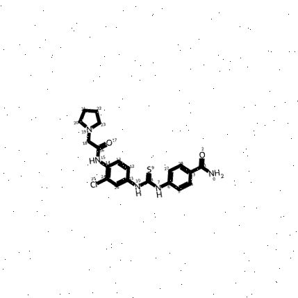 NC(=O)c1ccc(NC(=S)Nc2ccc(NC(=O)CN3CCCC3)c(Cl)c2)cc1